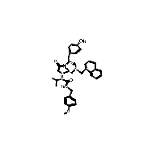 COc1ccc(CNC(=O)N(C(C)C)N2CC(=O)N([C@H](C)Cc3ccc(O)cc3)[C@@H]2CN(C=O)Cc2cccc3ccccc23)cc1